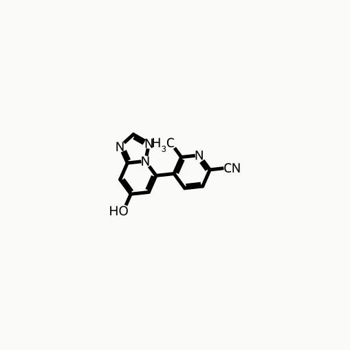 Cc1nc(C#N)ccc1-c1cc(O)cc2ncnn12